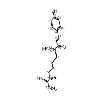 N=C(N)NCCCCN(O)C(=O)/C=C/c1ccc(O)cc1